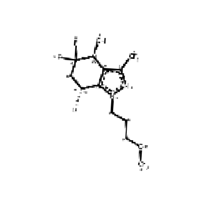 O[C@H]1c2c(C(F)(F)F)nn(CCCOC(F)(F)F)c2[C@H](F)CC1(F)F